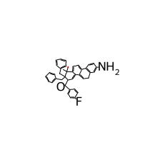 CC1(C)c2ccc3c(c2=CC(C(=O)c2ccc(F)cc2)C1(Cc1ccccc1)Cc1ccccc1)=CCc1cc(N)ccc1-3